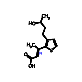 C/C(=C\C(=O)O)c1sccc1CCC(C)O